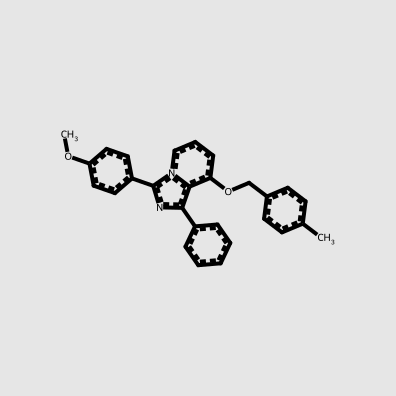 COc1ccc(-c2nc(-c3ccccc3)c3c(OCc4ccc(C)cc4)cccn23)cc1